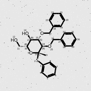 C[C@@]1(Sc2ccccc2)O[C@H](CO)[C@@H](O)[C@H](OCc2ccccc2)[C@H]1OCc1ccccc1